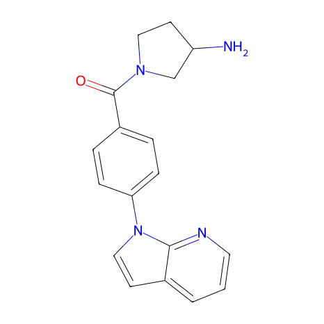 NC1CCN(C(=O)c2ccc(-n3ccc4cccnc43)cc2)C1